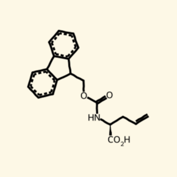 C=CC[C@H](NC(=O)OCC1c2ccccc2-c2ccccc21)C(=O)O